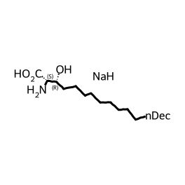 CCCCCCCCCCCCCCCCCCC[C@@H](O)[C@H](N)C(=O)O.[NaH]